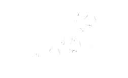 COC1=C(Nc2ncc(Cl)c(CNc3ccccc3S(=O)(=O)C(C)C)n2)C=C2CNCC(C)(C)C2C1